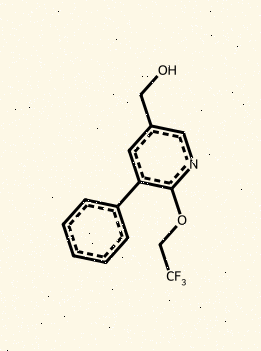 OCc1cnc(OCC(F)(F)F)c(-c2ccccc2)c1